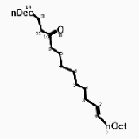 CCCCCCCCC=CCCCCCCCC(=O)CCCCCCCCCCCC